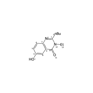 CCCCc1nc2ccc(O)cc2c(=O)n1CC